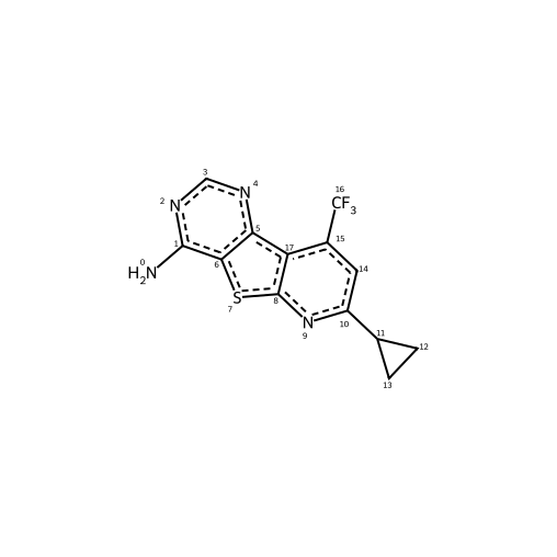 Nc1ncnc2c1sc1nc(C3CC3)cc(C(F)(F)F)c12